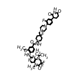 COc1cc(C(=O)NN2CCC(F)(CN3CCN(c4ccc(C5CCC(=O)NC5=O)cc4F)CC3)CC2)ccc1Nc1ncc2c(n1)N(C(C)C)CC(F)(F)C(=O)N2C